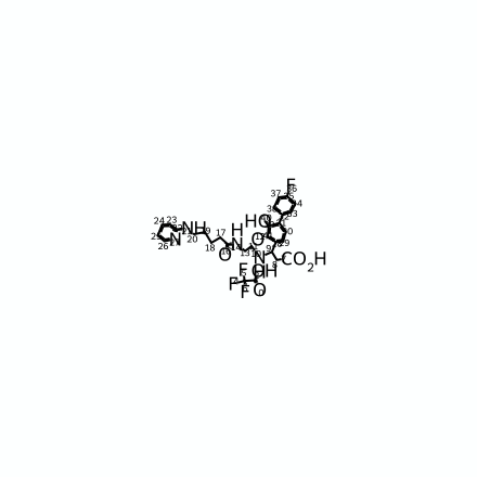 O=C(O)C(F)(F)F.O=C(O)CC(NC(=O)CNC(=O)CCCCNc1ccccn1)c1ccc(-c2ccc(F)cc2)c(O)c1